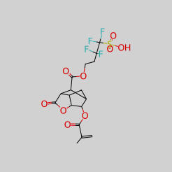 C=C(C)C(=O)OC1C2CC3C1OC(=O)C3C2C(=O)OCCC(F)(F)C(F)(F)S(=O)(=O)O